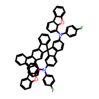 Fc1ccc(N(C2=CC=CC3c4ccccc4OC23)c2ccc3c(c2)C2(c4ccccc4-c4cc5c6ccccc6c6ccccc6c5cc42)c2cc(N(c4ccc(F)cc4)c4cccc5c4oc4ccccc45)ccc2-3)cc1